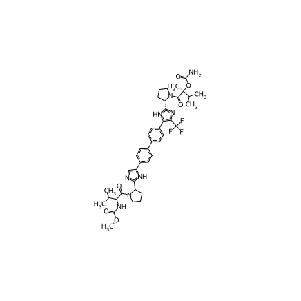 COC(=O)NC(C(=O)N1CCCC1c1ncc(-c2ccc(-c3ccc(-c4[nH]c([C@@H]5CCCN5C(=O)[C@@](C)(OC(N)=O)C(C)C)nc4C(F)(F)F)cc3)cc2)[nH]1)C(C)C